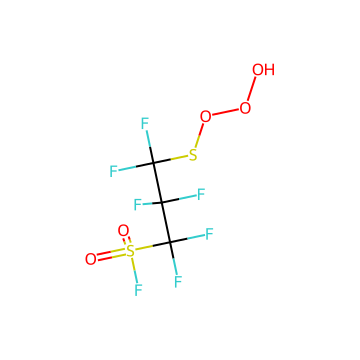 O=S(=O)(F)C(F)(F)C(F)(F)C(F)(F)SOOO